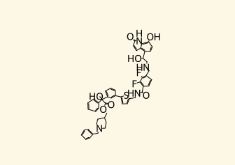 O=C(NCc1ccc(-c2cccc(C(O)(C(=O)OCC3CCN(Cc4ccccc4)CC3)c3ccccc3)c2)s1)c1ccc(CNCC(O)c2ccc(O)c3[nH]c(=O)ccc23)c(F)c1F